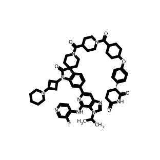 CC(C)n1cnc2cc(-c3ccc4c(c3)N(C3CC(N5CCCCC5)C3)C(=O)C43CCN(C(=O)C4CCN(C(=O)C5CCC(Oc6ccc([C@H]7CCC(=O)NC7=O)cc6)CC5)CC4)CC3)nc(Nc3ccncc3F)c21